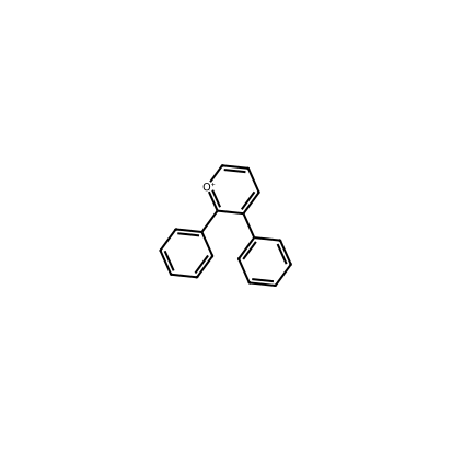 c1ccc(-c2ccc[o+]c2-c2ccccc2)cc1